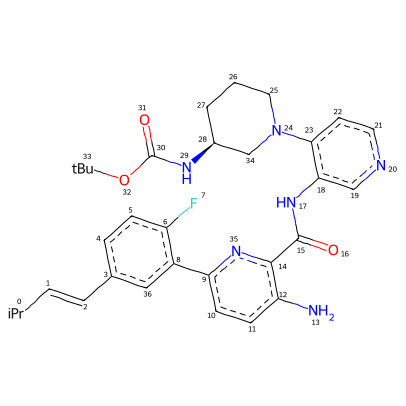 CC(C)C=Cc1ccc(F)c(-c2ccc(N)c(C(=O)Nc3cnccc3N3CCC[C@H](NC(=O)OC(C)(C)C)C3)n2)c1